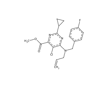 C=CCN(Cc1ccc(F)cc1)c1nc(C2CC2)nc(C(=O)OC)c1Cl